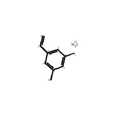 C=Cc1cc(C)cc(C)c1.S